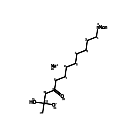 CCCCCCCCCCCCCCCCCC(=O)CC(C)([O-])O.[Na+]